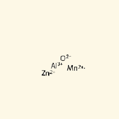 [Al+3].[Mn+2].[O-2].[Zn+2]